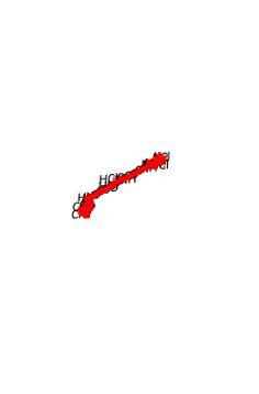 CN1Cc2c(Cl)cc(Cl)cc2[C@H](c2cccc(-c3cc(NCCOCCOCCOCCNC(=O)CCCCC(=O)NCCOCCOCCOCCNc4cc(-c5cccc([C@@H]6CN(C)Cc7c(Cl)cc(Cl)cc76)c5)ncn4)ncn3)c2)C1.Cl